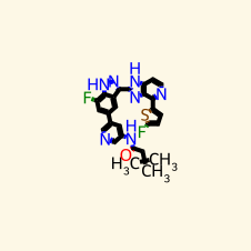 CC(C)(C)CC(=O)Nc1cncc(-c2cc(F)c3[nH]nc(-c4nc5c(-c6ccc(F)s6)nccc5[nH]4)c3c2)c1